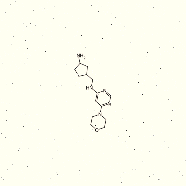 NC1CCC(CNc2cc(N3CCOCC3)ncn2)C1